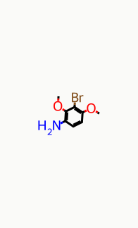 COc1ccc(N)c(OC)c1Br